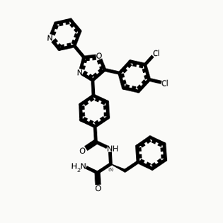 NC(=O)[C@H](Cc1ccccc1)NC(=O)c1ccc(-c2nc(-c3cccnc3)oc2-c2ccc(Cl)c(Cl)c2)cc1